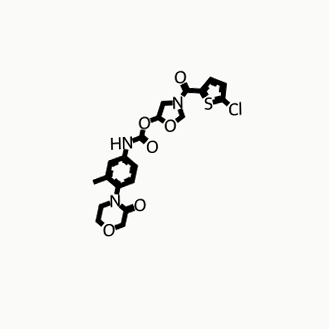 Cc1cc(NC(=O)OC2CN(C(=O)c3ccc(Cl)s3)CO2)ccc1N1CCOCC1=O